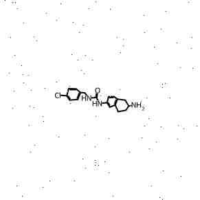 NC1CCc2cc(NC(=O)NCc3ccc(Cl)cc3)ccc2C1